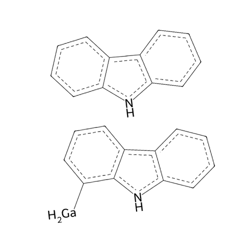 [GaH2][c]1cccc2c1[nH]c1ccccc12.c1ccc2c(c1)[nH]c1ccccc12